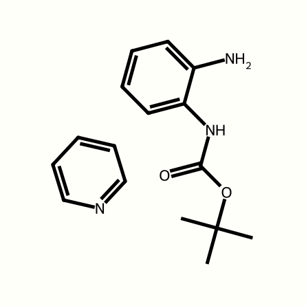 CC(C)(C)OC(=O)Nc1ccccc1N.c1ccncc1